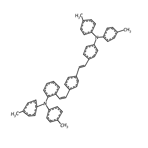 Cc1ccc(N(c2ccc(C)cc2)c2ccc(/C=C/c3ccc(/C=C\c4ccccc4N(c4ccc(C)cc4)c4ccc(C)cc4)cc3)cc2)cc1